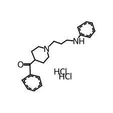 Cl.Cl.O=C(c1ccccc1)C1CCN(CCCNc2ccccc2)CC1